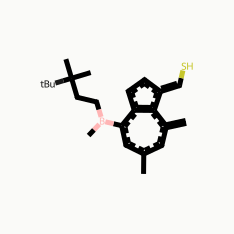 C=c1cc(C)cc(B(C)CCC(C)(C)C(C)(C)C)c2cc/c(=C\S)c1=2